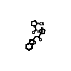 N#C[C@@H]1CCCN1C(=O)[C@@H]1NCCC1C(=O)Cc1cc2ccccc2o1